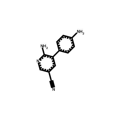 N#Cc1cnc(N)c(-c2ccc(N)cc2)c1